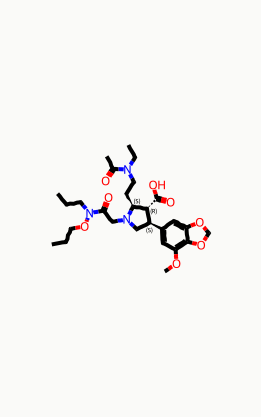 CCCON(CCC)C(=O)CN1C[C@H](c2cc(OC)c3c(c2)OCO3)[C@@H](C(=O)O)[C@@H]1CCN(CC)C(C)=O